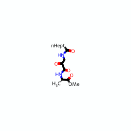 CCCCCCCC(=O)NCC(=O)C(=O)N[C@@H](C)C(=O)OC